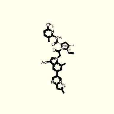 C=C[C@@H]1[C@@H](C)C[C@@H](C(=O)Nc2nc(C(F)(F)F)ccc2C)N1C(=O)Cn1cc(C(C)=O)c2cc(-c3cnc4cc(C)nn4c3)cc(C)c21